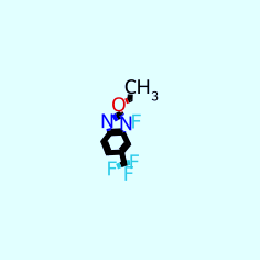 CCOc1nc2ccc(C(F)(F)F)cc2n1F